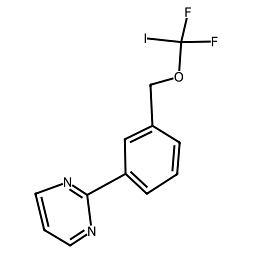 FC(F)(I)OCc1cccc(-c2ncccn2)c1